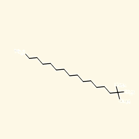 CCCCCCCC(CCCCCCC)(CCCCCCCCCCCCCC(=O)O)C(=O)O